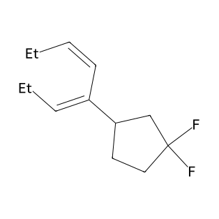 CC/C=C\C(=C/CC)C1CCC(F)(F)C1